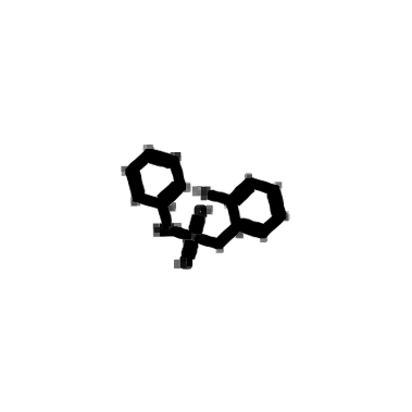 O=S(=O)(Cc1ccccc1F)Nc1ccccc1